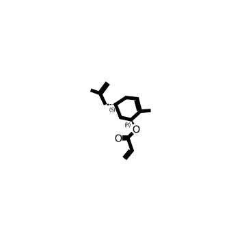 C=CC(=O)O[C@@H]1C[C@H](CC(=C)C)CC=C1C